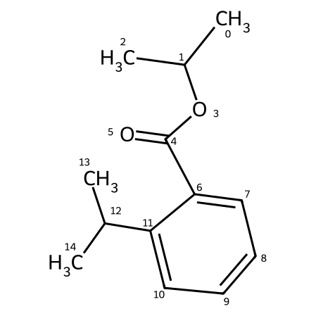 CC(C)OC(=O)c1ccccc1C(C)C